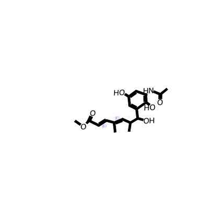 COC(=O)/C=C/C(C)=C/C(C)C(O)c1cc(O)cc(NC(C)=O)c1O